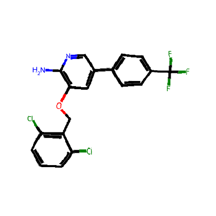 Nc1ncc(-c2ccc(C(F)(F)F)cc2)cc1OCc1c(Cl)cccc1Cl